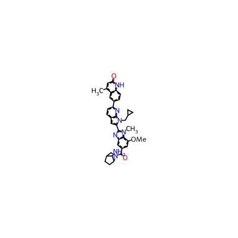 COc1cc(C(=O)N2CC3CCC2C3N)cc2nc(-c3cc4ccc(-c5ccc6[nH]c(=O)cc(C)c6c5)nc4n3CC3CC3)n(C)c12